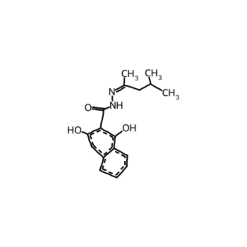 CC(CC(C)C)=NNC(=O)c1c(O)cc2ccccc2c1O